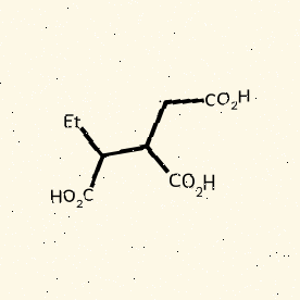 CCC(C(=O)O)C([CH]C(=O)O)C(=O)O